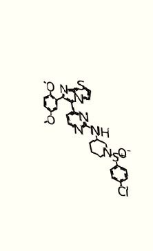 COc1ccc(OC)c(-c2nc3sccn3c2-c2ccnc(N[C@@H]3CCCN([S+]([O-])c4ccc(Cl)cc4)C3)n2)c1